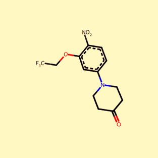 O=C1CCN(c2ccc([N+](=O)[O-])c(OCC(F)(F)F)c2)CC1